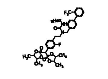 CCCCCCNC(=O)N(CCc1ccc(C(P2(=O)OC(C)C(C)O2)P2(=O)OC(C)C(C)O2)cc1F)Cc1ccc(-c2ccccc2C(F)(F)F)cc1